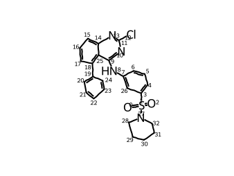 O=S(=O)(c1cccc(Nc2nc(Cl)nc3cccc(-c4ccccc4)c23)c1)N1CCCCC1